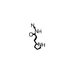 N#CNC(=O)C=CC1CCCN1